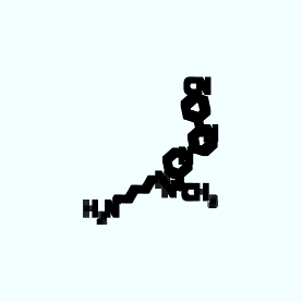 Cc1nn(CCCCCN)c2c1CN(c1ccnc(-c3ccc(C#N)cc3)c1)CC2